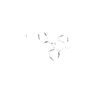 Bc1ccc(N(c2ccccc2C)c2ccccc2C)cc1